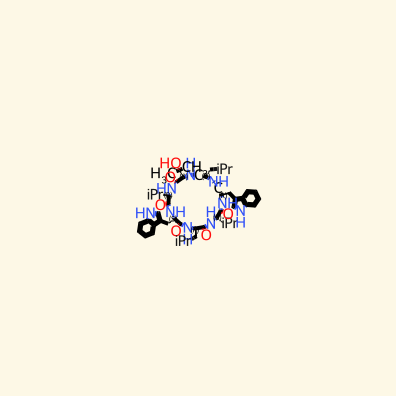 CC(C)C[C@H]1CN[C@@H](C(C)(C)O)C(=O)N[C@H](C(C)C)C(=O)N[C@@H](Cc2c[nH]c3ccccc23)C(=O)N[C@H](CC(C)C)C(=O)N[C@@H](C(C)C)C(=O)N[C@H](Cc2c[nH]c3ccccc23)CN1